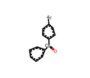 CC(=O)c1cc[c]([Co](=[O])[c]2ccccc2)cc1